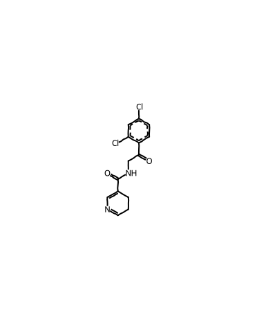 O=C(NCC(=O)c1ccc(Cl)cc1Cl)C1=CN=CCC1